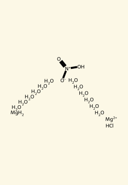 Cl.O.O.O.O.O.O.O.O.O.O.O.O.O=[N+]([O-])O.[Mg+2].[MgH2]